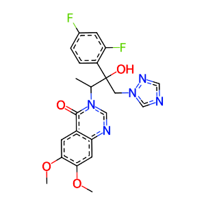 COc1cc2ncn(C(C)C(O)(Cn3cncn3)c3ccc(F)cc3F)c(=O)c2cc1OC